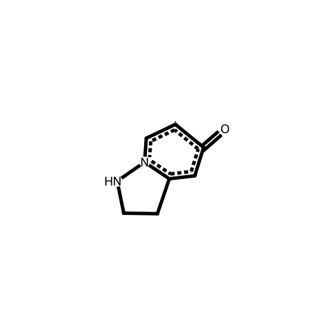 O=c1[c]cn2c(c1)CCN2